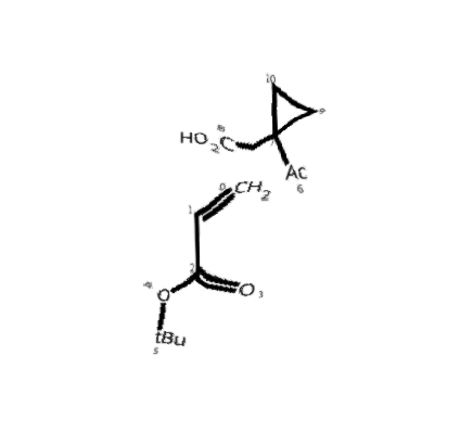 C=CC(=O)OC(C)(C)C.CC(=O)C1(C(=O)O)CC1